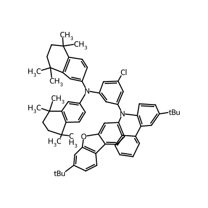 CC(C)(C)c1ccc(N(c2cc(Cl)cc(N(c3ccc4c(c3)C(C)(C)CCC4(C)C)c3ccc4c(c3)C(C)(C)CCC4(C)C)c2)c2ccc3c(c2)oc2cc(C(C)(C)C)ccc23)c(-c2ccccc2)c1